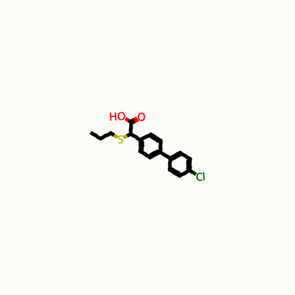 CCCSC(C(=O)O)c1ccc(-c2ccc(Cl)cc2)cc1